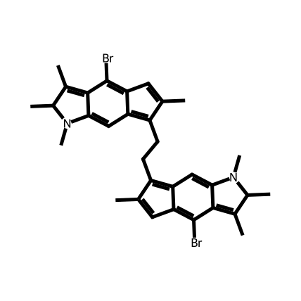 CC1=Cc2c(Br)c3c(cc2=C1CCC1=c2cc4c(c(Br)c2C=C1C)=C(C)C(C)N4C)N(C)C(C)C=3C